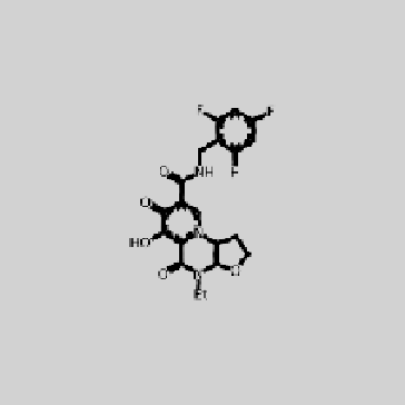 CCN1C(=O)c2c(O)c(=O)c(C(=O)NCc3c(F)cc(F)cc3F)cn2C2CCOC21